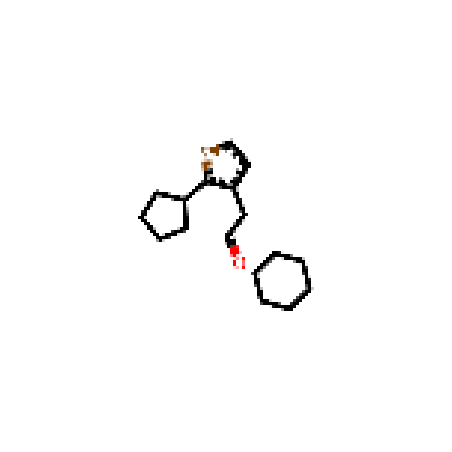 C1CCCCC1.O=CCc1ccsc1C1CCCC1